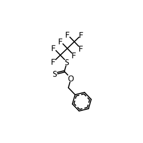 FC(F)(F)C(F)(F)C(F)(F)SC(=S)OCc1ccccc1